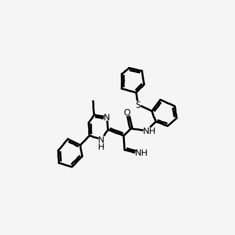 CC1=N/C(=C(/C=N)C(=O)Nc2ccccc2Sc2ccccc2)NC(c2ccccc2)=C1